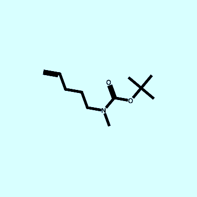 C=CCCCN(C)C(=O)OC(C)(C)C